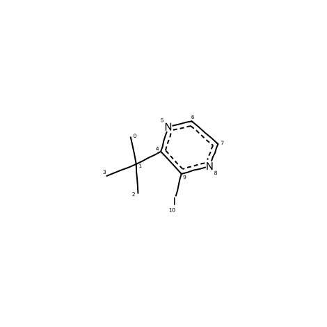 CC(C)(C)c1nccnc1I